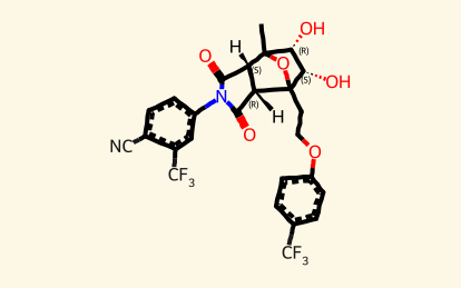 CC12OC(CCOc3ccc(C(F)(F)F)cc3)([C@@H]3C(=O)N(c4ccc(C#N)c(C(F)(F)F)c4)C(=O)[C@@H]31)[C@@H](O)[C@H]2O